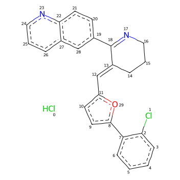 Cl.Clc1ccccc1-c1ccc(C=C2CCCN=C2c2ccc3ncccc3c2)o1